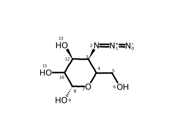 [N-]=[N+]=N[C@H]1C(CO)O[C@H](O)C(O)[C@H]1O